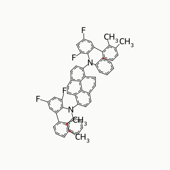 Cc1cccc(-c2cc(F)cc(F)c2N(c2ccccc2)c2ccc3ccc4c(N(c5ccccc5)c5c(F)cc(F)cc5-c5cccc(C)c5C)ccc5ccc2c3c54)c1C